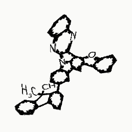 CC1(C)c2ccccc2-c2cccc(-c3ccc4c(c3)c3cc5c6ccccc6oc5c5c6nc7ccccc7nc6n4c35)c21